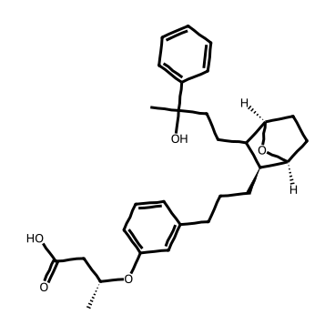 C[C@H](CC(=O)O)Oc1cccc(CCC[C@H]2C(CCC(C)(O)c3ccccc3)[C@H]3CC[C@@H]2O3)c1